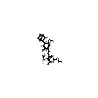 CCOc1nc(C)c([N+](=O)[O-])c(NCc2cc(OC)c(C3CN4CCC3CC4)cc2F)n1